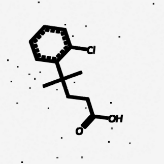 CC(C)(CCC(=O)O)c1ccccc1Cl